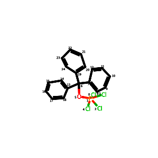 ClP(Cl)(Cl)(Cl)OC(c1ccccc1)(c1ccccc1)c1ccccc1